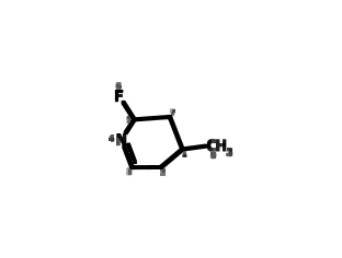 CC1CC=NC(F)C1